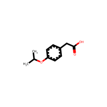 CC(C)Oc1ccc(CC(=O)O)cc1